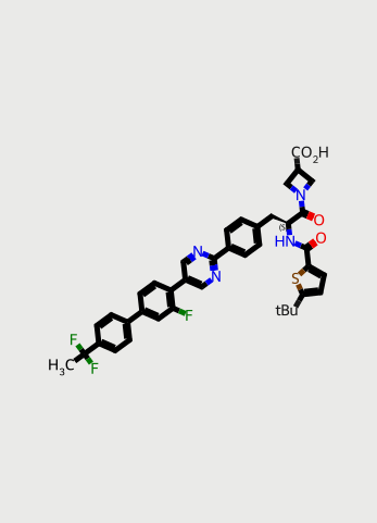 CC(C)(C)c1ccc(C(=O)N[C@@H](Cc2ccc(-c3ncc(-c4ccc(-c5ccc(C(C)(F)F)cc5)cc4F)cn3)cc2)C(=O)N2CC(C(=O)O)C2)s1